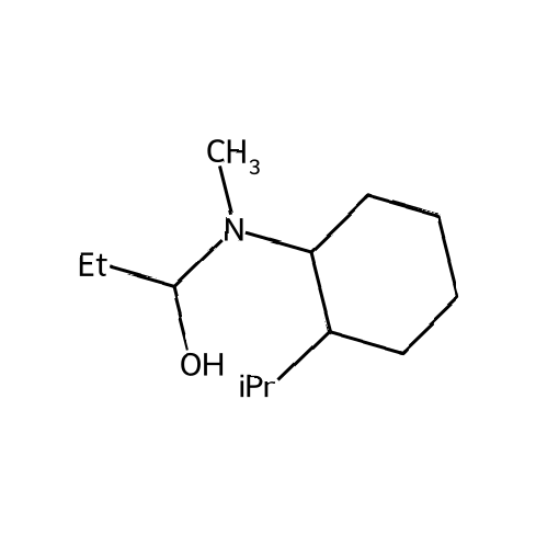 CCC(O)N(C)C1CCCCC1C(C)C